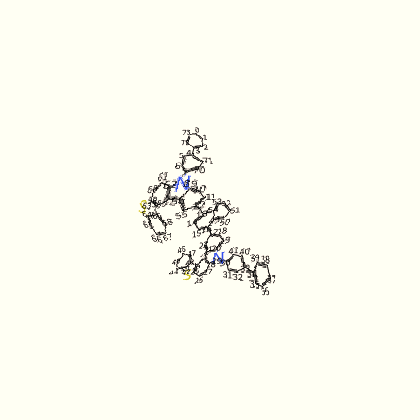 c1ccc(-c2ccc(-n3c4ccc(-c5ccc(-c6ccc7c(c6)c6c8c(ccc6n7-c6ccc(-c7ccccc7)cc6)sc6ccccc68)c6ccccc56)cc4c4c5c(ccc43)sc3ccccc35)cc2)cc1